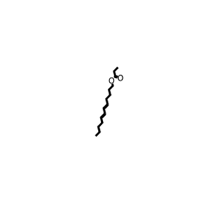 CCCC/C=C/C=C/CCCCOC(=O)CC